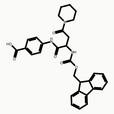 O=C(NC(CC(=O)N1CCCCC1)C(=O)Nc1ccc(C(=O)O)cc1)OCC1c2ccccc2-c2ccccc21